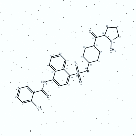 Cc1ccccc1C(=O)Nc1ccc(S(=O)(=O)NC2CCN(C(=O)C3CCCN3C)CC2)c2ccccc12